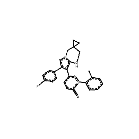 Cc1ccccc1-n1nc(-c2c(-c3ccc(F)cc3)nn3c2NCC2(CC2)C3)ccc1=O